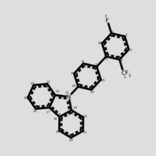 Fc1ccc(C(F)(F)F)c(-c2ccc(-n3c4ccccc4c4ccccc43)cc2)c1